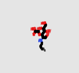 C=CCN[C@@H](C=O)[C@@H](OCC(=O)O)[C@H](O)[C@H](O)CO